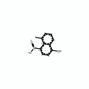 Cc1cccc2c(O)ccc([N+](=O)[O-])c12